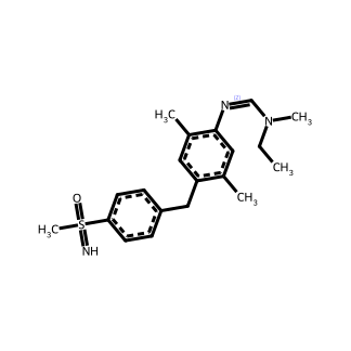 CCN(C)/C=N\c1cc(C)c(Cc2ccc(S(C)(=N)=O)cc2)cc1C